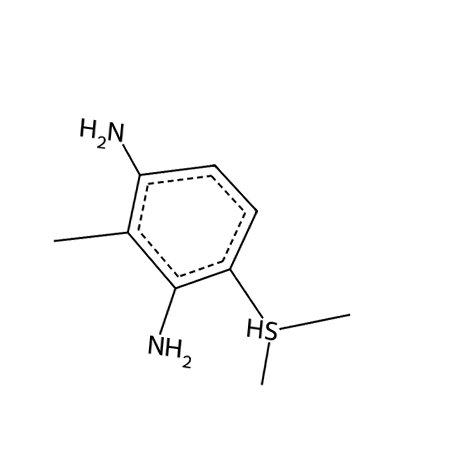 Cc1c(N)ccc([SH](C)C)c1N